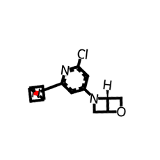 Clc1cc(N2CC3OC[C@H]32)cc(N2CC3CC2C3)n1